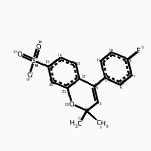 CC1(C)C=C(c2ccc(F)cc2)c2ccc(S(=O)(=O)Cl)cc2O1